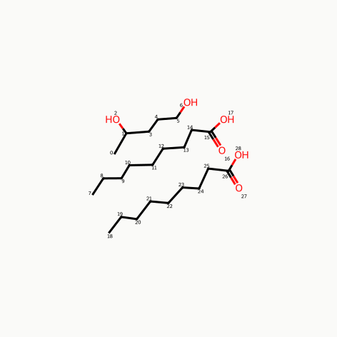 CC(O)CCCO.CCCCCCCCC(=O)O.CCCCCCCCC(=O)O